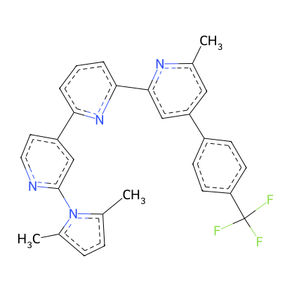 Cc1cc(-c2ccc(C(F)(F)F)cc2)cc(-c2cccc(-c3ccnc(-n4c(C)ccc4C)c3)n2)n1